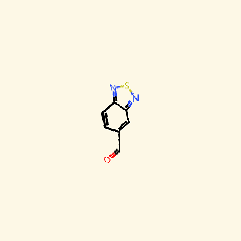 O=Cc1ccc2nsnc2c1